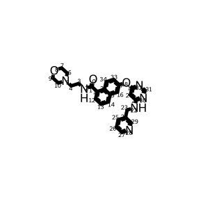 O=C(NCCN1CCOCC1)c1cccc2cc(Oc3cc(NCc4cccnc4)ncn3)ccc12